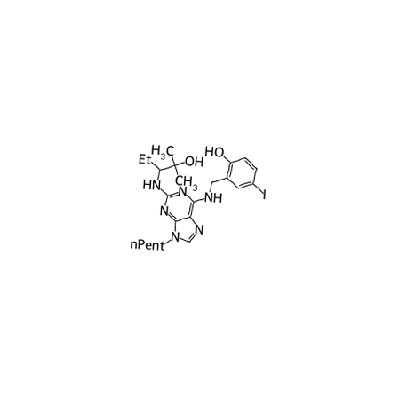 CCCCCn1cnc2c(NCc3cc(I)ccc3O)nc(NC(CC)C(C)(C)O)nc21